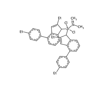 CCC1=Cc2c(-c3ccc(CC)cc3)cccc2[CH]1[Zr]([Cl])([Cl])([CH]1C(CC)=Cc2c(-c3ccc(CC)cc3)cccc21)[SiH](C)C